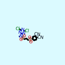 CN(c1nc(Cl)nc(Cl)n1)S(=O)(=O)CCCS(=O)(=O)c1ccc(C#N)c(C#N)c1